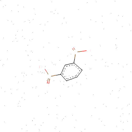 O=S(O)c1cccc(S(=O)O)c1